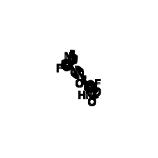 Cc1ccc2c(N3CCN(CC(=O)c4cc(F)c5c(c4)NC(=O)CO5)CC3)cc(F)cc2n1